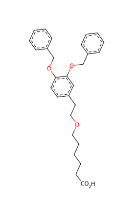 O=C(O)CCCCCOCCc1ccc(OCc2ccccc2)c(OCc2ccccc2)c1